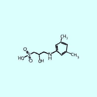 Cc1cc(C)cc(NCC(O)CS(=O)(=O)O)c1